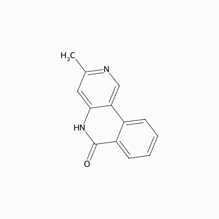 Cc1cc2[nH]c(=O)c3ccccc3c2cn1